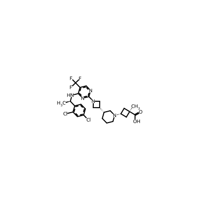 C[C@@H](Nc1nc(N2CC([C@H]3CCCN([C@H]4C[C@](C)(C(=O)O)C4)C3)C2)ncc1C(F)(F)F)c1ccc(Cl)cc1Cl